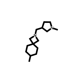 CC1CCC2(CC1)CN(CC1CCN(C)C1)C2